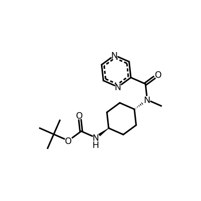 CN(C(=O)c1cnccn1)[C@H]1CC[C@H](NC(=O)OC(C)(C)C)CC1